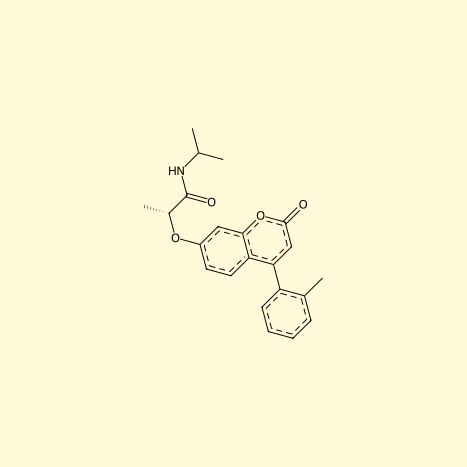 Cc1ccccc1-c1cc(=O)oc2cc(O[C@H](C)C(=O)NC(C)C)ccc12